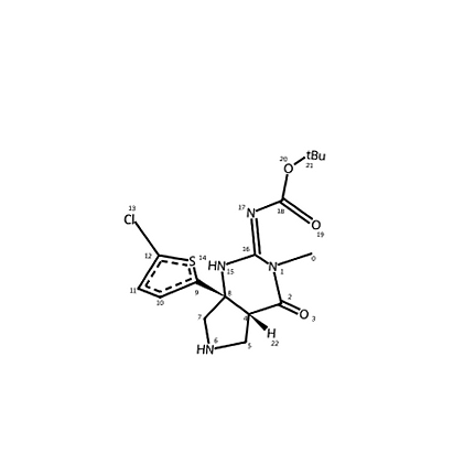 CN1C(=O)[C@@H]2CNC[C@]2(c2ccc(Cl)s2)N/C1=N/C(=O)OC(C)(C)C